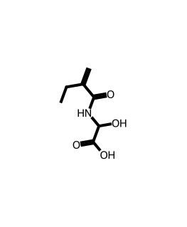 C=C(CC)C(=O)NC(O)C(=O)O